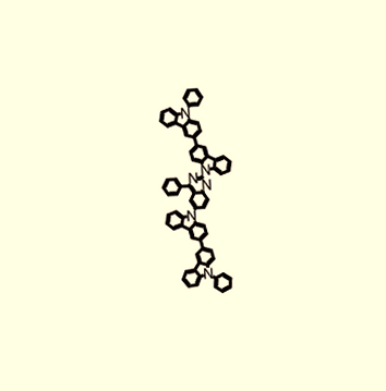 c1ccc(-c2nc(-n3c4ccccc4c4cc(-c5ccc6c(c5)c5ccccc5n6-c5ccccc5)ccc43)nc3ccc(-n4c5ccccc5c5cc(-c6ccc7c(c6)c6ccccc6n7-c6ccccc6)ccc54)cc23)cc1